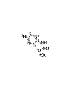 [2H]c1cnc(NC(=O)OC(C)(C)C)cn1